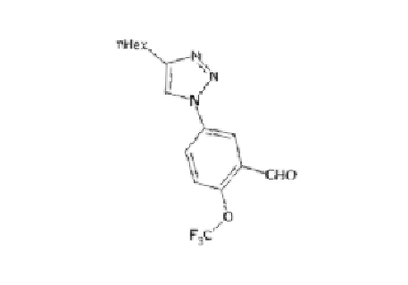 CCCCCCc1cn(-c2ccc(OC(F)(F)F)c(C=O)c2)nn1